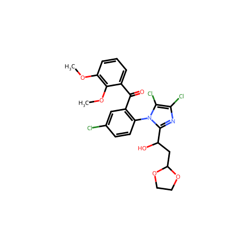 COc1cccc(C(=O)c2cc(Cl)ccc2-n2c(C(O)CC3OCCO3)nc(Cl)c2Cl)c1OC